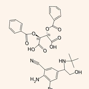 CC(C)(C)NC(CO)c1cc(Br)c(N)c(C#N)c1.O=C(O[C@H](C(=O)O)[C@H](OC(=O)c1ccccc1)C(=O)O)c1ccccc1